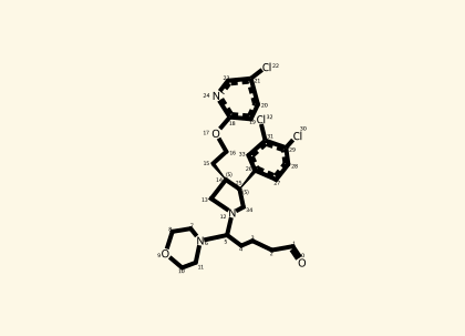 O=CCCCC(N1CCOCC1)N1C[C@@H](CCOc2ccc(Cl)cn2)[C@@H](c2ccc(Cl)c(Cl)c2)C1